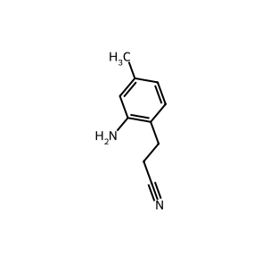 Cc1ccc(CCC#N)c(N)c1